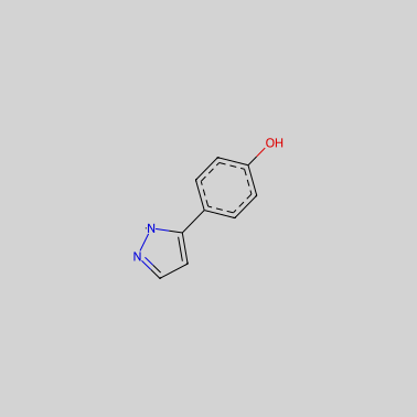 Oc1ccc(C2=CC=N[N]2)cc1